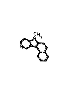 Cn1c2ccncc2c2c3ccccc3ccc21